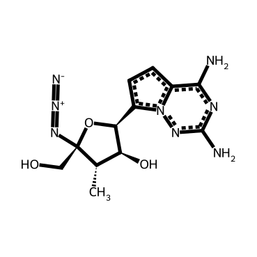 C[C@H]1[C@H](O)[C@H](c2ccc3c(N)nc(N)nn23)O[C@@]1(CO)N=[N+]=[N-]